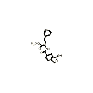 COC(=O)[C@@H](CCc1ccccc1)NC(=O)c1ccc2c(c1)B(O)OC2